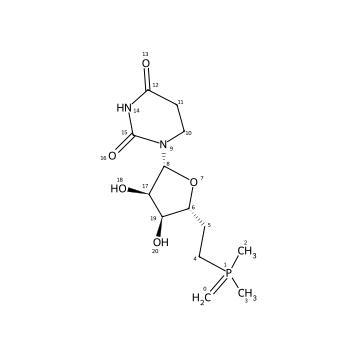 C=P(C)(C)CC[C@H]1O[C@@H](N2CCC(=O)NC2=O)[C@H](O)[C@@H]1O